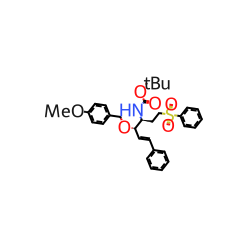 COc1ccc(CO[C@@H](C=Cc2ccccc2)[C@H](CCS(=O)(=O)c2ccccc2)NC(=O)OC(C)(C)C)cc1